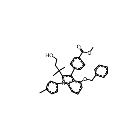 COC(=O)c1ccc(-c2c(C(C)(C)CCO)n(-c3ccc(C)cc3)c3cccc(OCc4ccccc4)c23)cc1